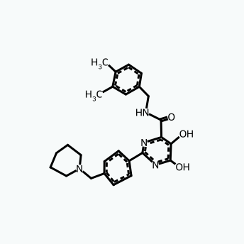 Cc1ccc(CNC(=O)c2nc(-c3ccc(CN4CCCCC4)cc3)nc(O)c2O)cc1C